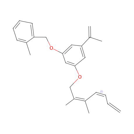 C=C/C=C\C(C)=C(C)COc1cc(OCc2ccccc2C)cc(C(=C)C)c1